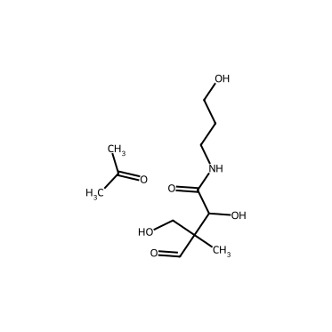 CC(C)=O.CC(C=O)(CO)C(O)C(=O)NCCCO